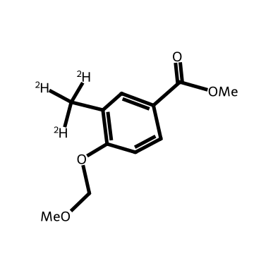 [2H]C([2H])([2H])c1cc(C(=O)OC)ccc1OCOC